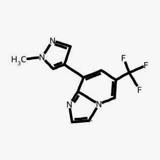 Cn1cc(-c2cc(C(F)(F)F)cn3[c]cnc23)cn1